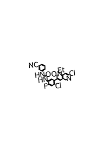 CCn1c(=O)c(-c2cc(NC(=O)Nc3cccc(C#N)c3)c(F)cc2Cl)cc2cnc(Cl)cc21